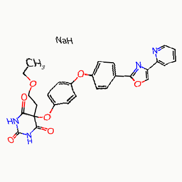 CCOCCC1(Oc2ccc(Oc3ccc(-c4nc(-c5ccccn5)co4)cc3)cc2)C(=O)NC(=O)NC1=O.[NaH]